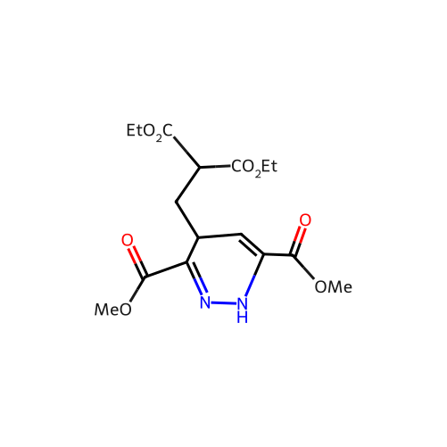 CCOC(=O)C(CC1C=C(C(=O)OC)NN=C1C(=O)OC)C(=O)OCC